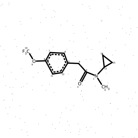 CN(C(=O)Cc1ccc(OC(F)(F)F)cc1)C1CC1